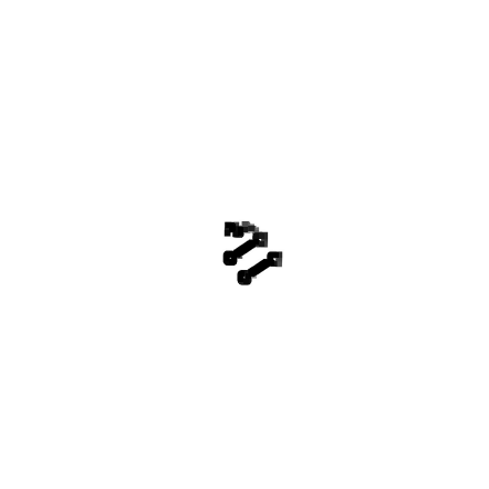 [O-]Cl.[O-]Cl.[Pb+2]